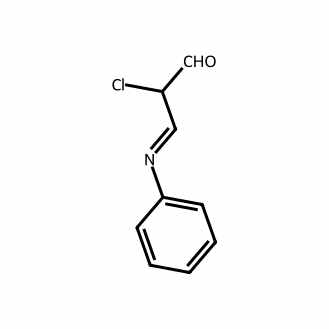 O=CC(Cl)C=Nc1ccccc1